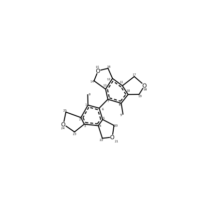 Cc1c2c(c3c(c1-c1c(C)c4c(c5c1COC5)COC4)COC3)COC2